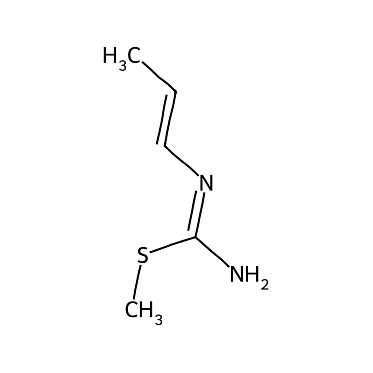 C/C=C/N=C(/N)SC